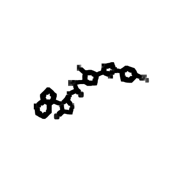 O=C(N=C1SCC(=O)N1c1cccc2ncccc12)Nc1ccc(-c2ncn(-c3ccc(C(F)(F)F)cc3)n2)cc1F